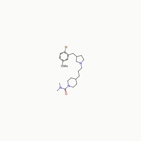 COc1ccc(Br)c(CC2CCN(CCCC3CCN(C(=O)N(C)C)CC3)C2)c1